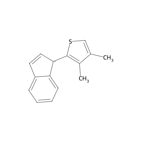 Cc1csc([C]2C=Cc3ccccc32)c1C